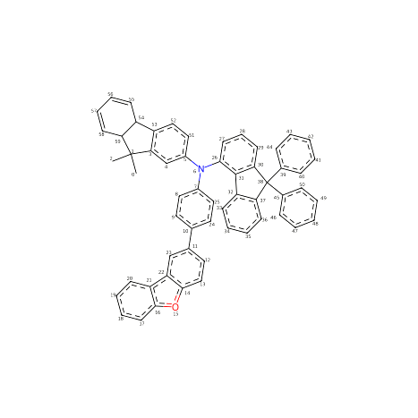 CC1(C)c2cc(N(c3ccc(-c4ccc5oc6ccccc6c5c4)cc3)c3cccc4c3-c3ccccc3C4(c3ccccc3)c3ccccc3)ccc2C2C=CC=CC21